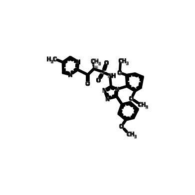 COc1cccc(-c2nnc(NS(=O)(=O)[C@@H](C)C(=O)c3ncc(C)cn3)n2-c2c(OC)cccc2OC)c1